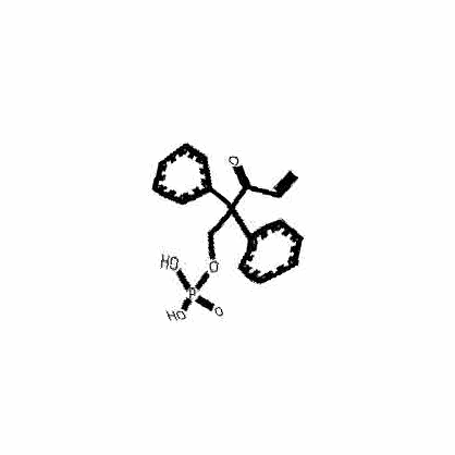 C=CC(=O)C(COP(=O)(O)O)(c1ccccc1)c1ccccc1